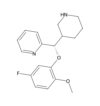 COc1ccc(F)cc1O[C@H](c1ccccn1)C1CCCNC1